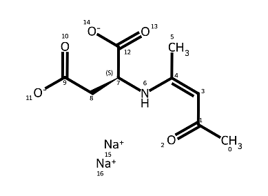 CC(=O)C=C(C)N[C@@H](CC(=O)[O-])C(=O)[O-].[Na+].[Na+]